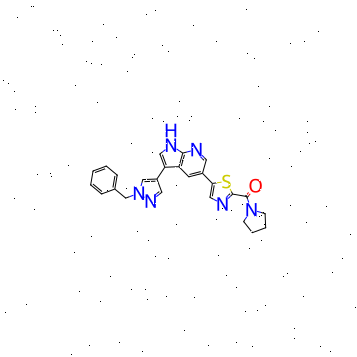 O=C(c1ncc(-c2cnc3[nH]cc(-c4cnn(Cc5ccccc5)c4)c3c2)s1)N1CCCC1